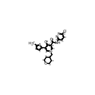 Cc1ccc(-c2cn(CC3CCOCC3)cc(C(=O)Nc3ccc(Cl)nn3)c2=O)s1